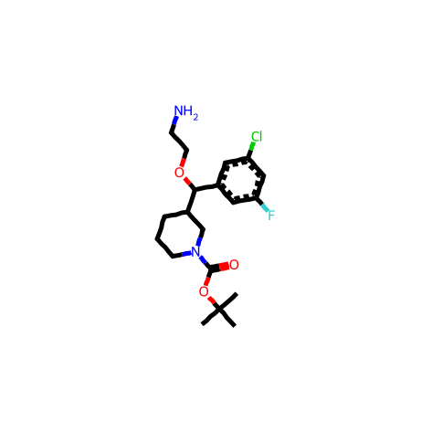 CC(C)(C)OC(=O)N1CCCC(C(OCCN)c2cc(F)cc(Cl)c2)C1